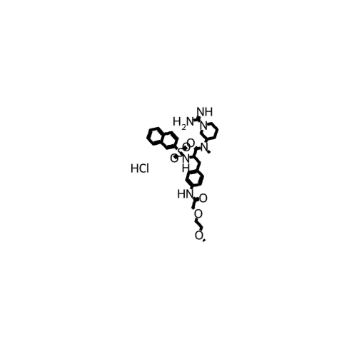 COCCOCC(=O)Nc1ccc(CC(NS(=O)(=O)c2ccc3ccccc3c2)C(=O)N(C)C2CCCN(C(=N)N)C2)cc1.Cl